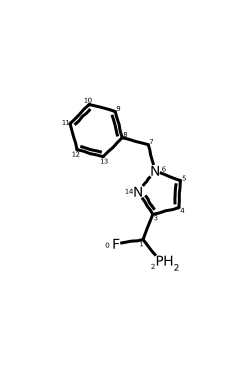 FC(P)c1ccn(Cc2ccccc2)n1